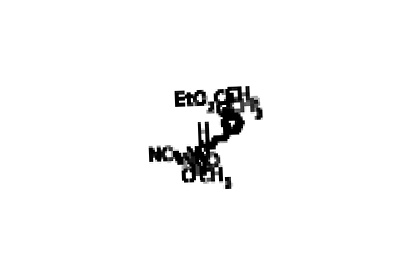 CCOC(=O)C(C)(C)Oc1cccc(CCCNc2nn(CCC#N)c(=O)n(C)c2=O)c1